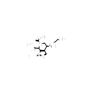 C=CCONC1CN(C(=O)O)C(C(=O)O)c2c1cnn2C